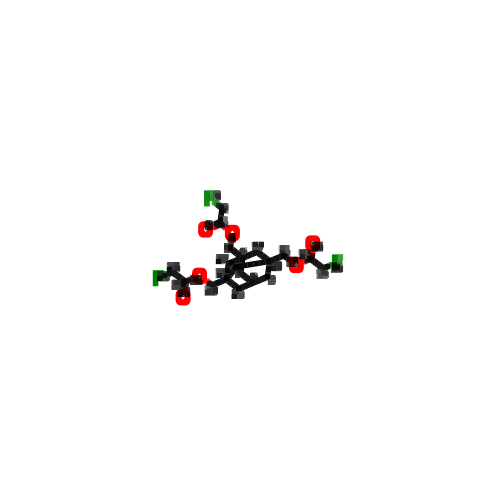 O=C(CF)OCC12CC3CC(COC(=O)CF)(C1)CC(COC(=O)CF)(C3)C2